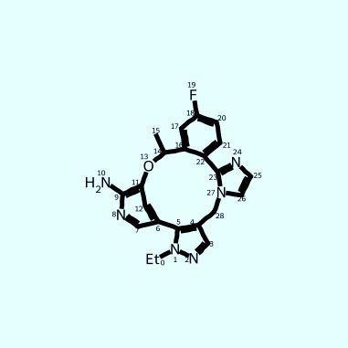 CCn1ncc2c1-c1cnc(N)c(c1)OC(C)c1cc(F)ccc1-c1nccn1C2